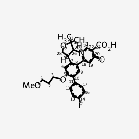 COCCCOc1cc2c(cc1-c1ccc(F)cc1)-c1cc(=O)c(C(=O)O)cn1[C@H]1[C@@H]2COC1(C)C